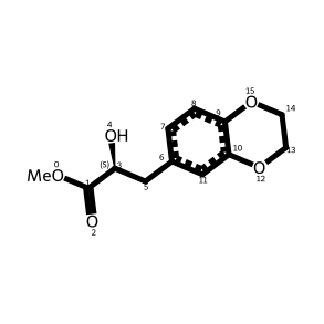 COC(=O)[C@@H](O)Cc1ccc2c(c1)OCCO2